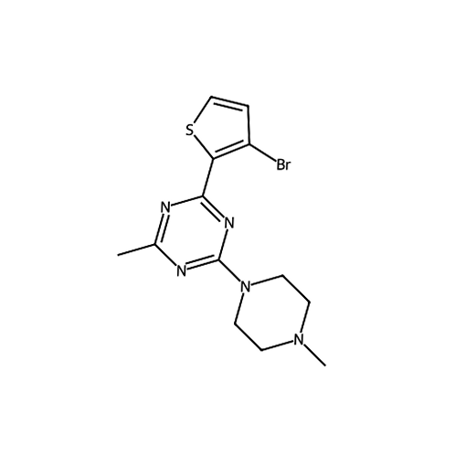 Cc1nc(-c2sccc2Br)nc(N2CCN(C)CC2)n1